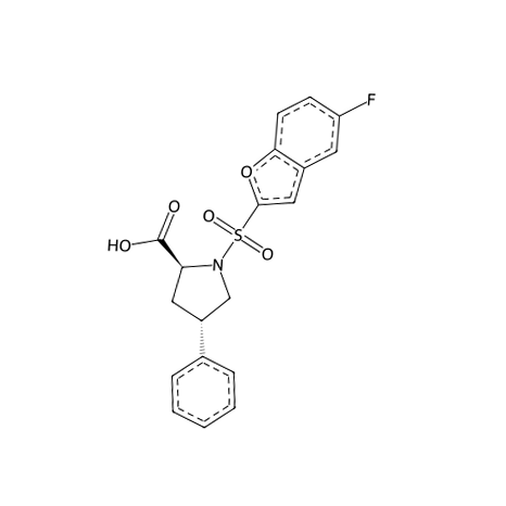 O=C(O)[C@@H]1C[C@@H](c2ccccc2)CN1S(=O)(=O)c1cc2cc(F)ccc2o1